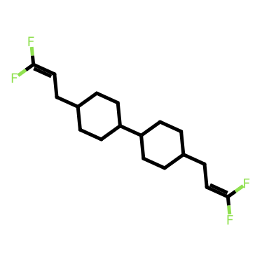 FC(F)=CCC1CCC(C2CCC(CC=C(F)F)CC2)CC1